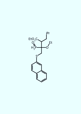 CCOC(=O)C(CC(C)C)C(CSc1ccc2ccccc2c1)(OCC)[PH2]=O